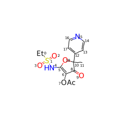 CCS(=O)(=O)NC1=C(OC(C)=O)C(=O)C(C)(c2ccncc2)O1